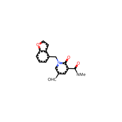 CNC(=O)c1cc(C=O)cn(Cc2cccc3occc23)c1=O